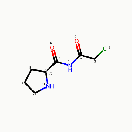 O=C(CCl)NC(=O)[C@@H]1CCCN1